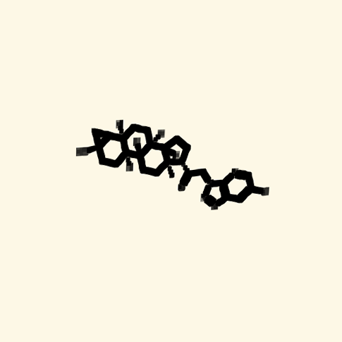 C[C@]12CC[C@@H]3[C@H]4CC[C@]5(O)CC5[C@H]4CC[C@H]3[C@@H]1CC[C@@H]2C(=O)Cn1nnc2cc(Cl)cnc21